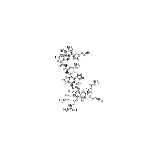 N=C(N)NCC/C=C(\NC(=O)[C@H](CCCCN)NC(=O)[C@H](Cc1cnc[nH]1)NC(=O)[C@@H]1CCCN1C(=O)[C@@H](CCCN)NC(=O)CNC(=O)[C@H](CO)NC(=O)[C@@H](NC(=O)[C@@H](N)CCCCN)[C@@H](O)CN)C(=O)N[C@@H](CCCCN)C(=O)NCCCCN